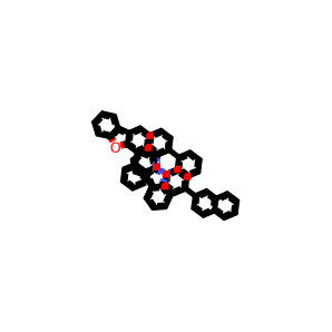 c1ccc(N(c2ccc(-c3ccc4ccccc4c3)cc2)c2ccccc2-c2cccc3c2oc2ccccc23)c(-c2ccccc2-n2c3ccccc3c3ccccc32)c1